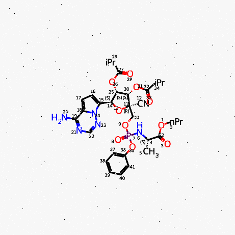 CCCOC(=O)[C@H](C)NP(=O)(OC[C@@]1(C#N)O[C@@H](c2ccc3c(N)ncnn23)[C@H](OC(=O)C(C)C)[C@@H]1OC(=O)C(C)C)Oc1ccccc1